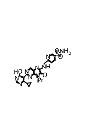 CC(C)n1c(=O)c(NCc2ccc(S(N)(=O)=O)cn2)nc2cnc(-c3c(O)ncnc3C3CC3)nc21